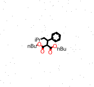 CCCCOC(=O)C(C(=O)OCCCC)C(CC(C)C)c1ccccc1